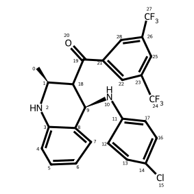 C[C@@H]1Nc2ccccc2[C@H](Nc2ccc(Cl)cc2)C1C(=O)c1cc(C(F)(F)F)cc(C(F)(F)F)c1